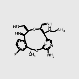 CCN/C1=C(\C=N)C/C(=C/O)C(=N)c2ccc(F)cc2[C@@H](C)Oc2cc1cnc2N